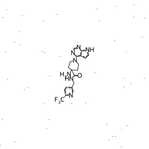 NC1(C(=O)NCc2ccc(C(F)(F)F)nc2)CCN(c2ncnc3[nH]ccc23)CC1